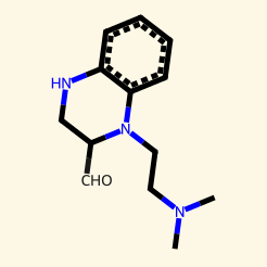 CN(C)CCN1c2ccccc2NCC1C=O